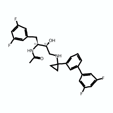 CC(=O)N[C@@H](Cc1cc(F)cc(F)c1)[C@@H](O)CNC1(c2cccc(-c3cc(F)cc(F)c3)c2)CC1